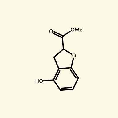 COC(=O)C1Cc2c(O)cccc2O1